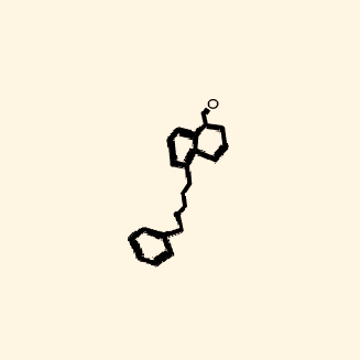 O=Cc1cccc2c(CCCCCc3ccccc3)cccc12